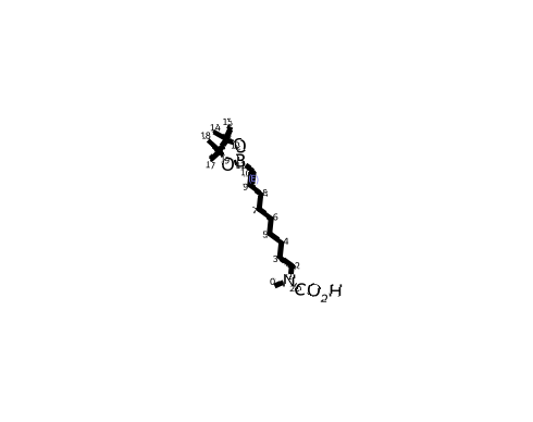 CN(CCCCCCC/C=C/B1OC(C)(C)C(C)(C)O1)C(=O)O